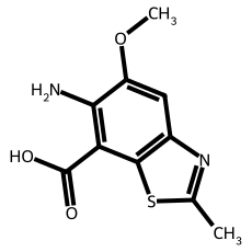 COc1cc2nc(C)sc2c(C(=O)O)c1N